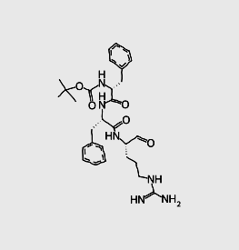 CC(C)(C)OC(=O)N[C@H](Cc1ccccc1)C(=O)N[C@@H](Cc1ccccc1)C(=O)N[C@H](C=O)CCCNC(=N)N